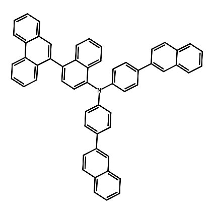 c1ccc2cc(-c3ccc(N(c4ccc(-c5ccc6ccccc6c5)cc4)c4ccc(-c5cc6ccccc6c6ccccc56)c5ccccc45)cc3)ccc2c1